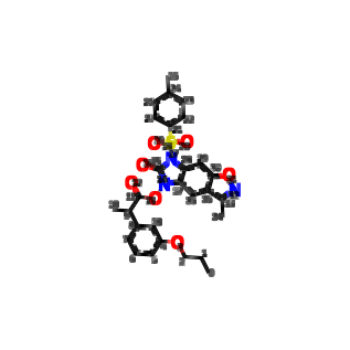 CCCOc1cccc(C(C)C(=O)On2c(=O)n(S(=O)(=O)c3ccc(C)cc3)c3cc4onc(C)c4cc32)c1